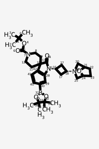 CC(C)(C)OC(=O)N1CCC2(CC1)C(=O)N([C@H]1C[C@@H](N3CC4CCC(C3)O4)C1)c1cc(B3OC(C)(C)C(C)(C)O3)ccc12